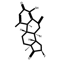 C=C1C[C@@H]2[C@H](CC[C@]3(C)C(=O)[C@H](F)C[C@@H]23)[C@@]2(C)C(C)=CC(=O)C(S)=C12